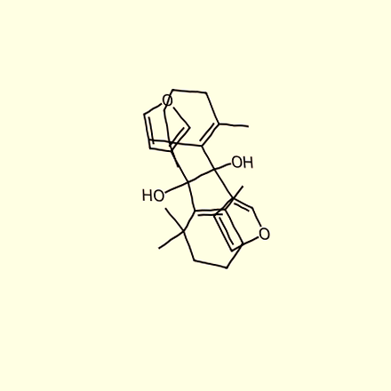 CC1=C(C(O)(c2ccoc2)C(O)(C2=C(C)CCCC2(C)C)c2ccoc2)C(C)(C)CCC1